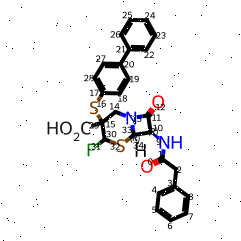 O=C(Cc1ccccc1)N[C@@H]1C(=O)N2CC(Sc3ccc(-c4ccccc4)cc3)(C(=O)O)C(F)S[C@H]12